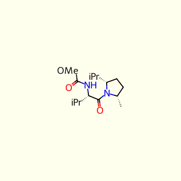 COC(=O)N[C@H](C(=O)N1[C@@H](C)CC[C@H]1C(C)C)C(C)C